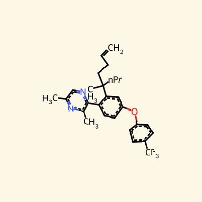 C=CCCC(C)(CCC)c1cc(Oc2ccc(C(F)(F)F)cc2)ccc1-c1ncc(C)nc1C